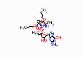 C=CC1(OCP(=O)(N[C@@H](C)C(=O)OCCCC)N[C@@H](C)C(=O)OCCCC)CC(O)C(n2nnc3c(O)nc(N)nc32)O1